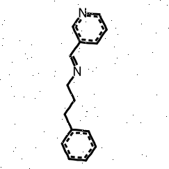 C(=NCCCc1ccccc1)c1cccnc1